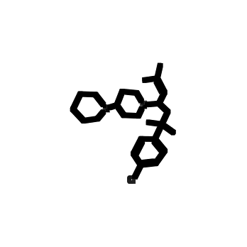 CC(C)=CC(CC(C)(C)c1ccc(Cl)cc1)N1CCC(N2CCCCC2)CC1